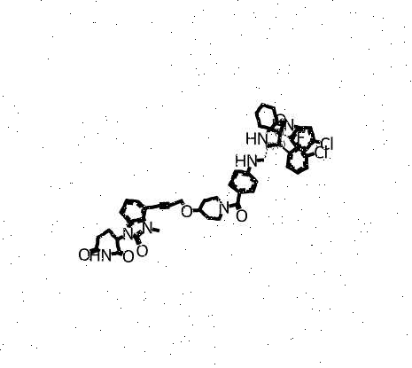 Cn1c(=O)n(C2CCC(=O)NC2=O)c2cccc(C#CCOC3CCN(C(=O)c4ccc(NC[C@@H]5NC6(CCCCC6)[C@@]6(C(=O)Nc7cc(Cl)ccc76)[C@H]5c5cccc(Cl)c5F)cc4)CC3)c21